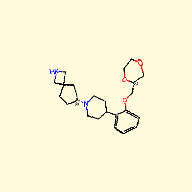 c1ccc(C2CCN([C@@H]3CCC4(CNC4)C3)CC2)c(OC[C@@H]2COCCO2)c1